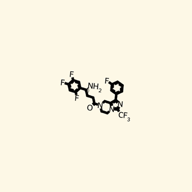 N[C@H](CCC(=O)N1CCn2c(C(F)(F)F)nc(-c3cccc(F)c3)c2C1)c1cc(F)c(F)cc1F